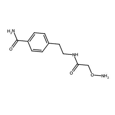 NOCC(=O)NCCc1ccc(C(N)=O)cc1